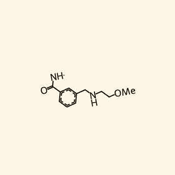 COCCNCc1cccc(C([NH])=O)c1